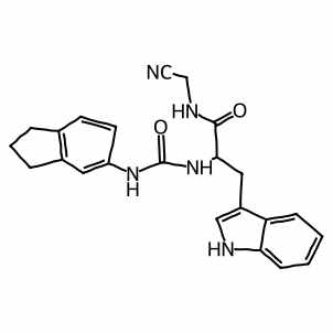 N#CCNC(=O)C(Cc1c[nH]c2ccccc12)NC(=O)Nc1ccc2c(c1)CCC2